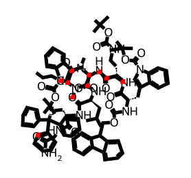 CCCC[C@@H](C(=O)N(C)[C@@H](CCCC)C(=O)N[C@@H](CC(C)C)C(=O)N[C@@H](CSC(c1ccccc1)(c1ccccc1)c1ccccc1)C(=O)NCC(N)=O)N(C)C(=O)[C@H](Cc1cn(C(=O)OC(C)(C)C)c2ccccc12)NC(=O)[C@H](CCNC(=O)OC(C)(C)C)NC(=O)[C@H](Cc1cn(C(=O)OC(C)(C)C)c2ccccc12)NC(=O)OCC1c2ccccc2-c2ccccc21